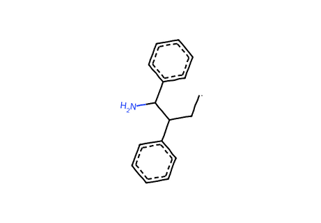 [CH2]CC(c1ccccc1)C(N)c1ccccc1